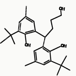 Cc1cc(C(CCCO)c2cc(C)cc(C(C)(C)C)c2O)c(O)c(C(C)(C)C)c1